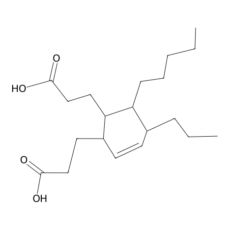 CCCCCC1C(CCC)C=CC(CCC(=O)O)C1CCC(=O)O